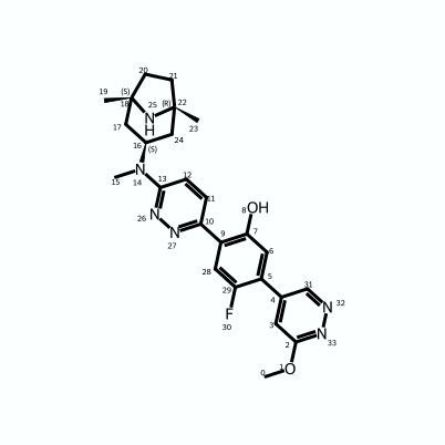 COc1cc(-c2cc(O)c(-c3ccc(N(C)[C@H]4C[C@]5(C)CC[C@](C)(C4)N5)nn3)cc2F)cnn1